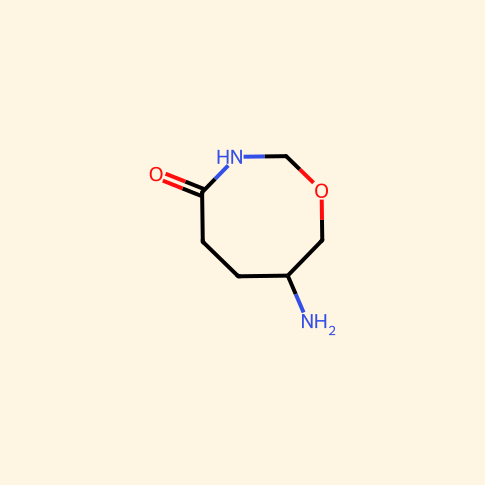 NC1CCC(=O)NCOC1